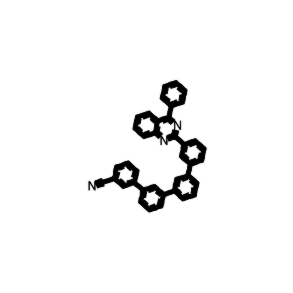 N#Cc1cccc(-c2cccc(-c3cccc(-c4cccc(-c5nc(-c6ccccc6)c6ccccc6n5)c4)c3)c2)c1